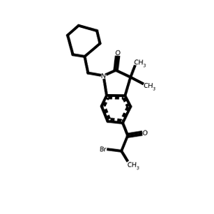 CC(Br)C(=O)c1ccc2c(c1)C(C)(C)C(=O)N2CC1CCCCC1